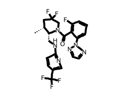 C[C@@H]1CC(F)(F)CN(C(=O)c2c(F)cccc2-n2nccn2)[C@@H]1CNc1ccc(C(F)(F)F)cn1